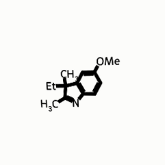 CCC1(C)C(C)=Nc2ccc(OC)cc21